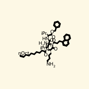 CCCCCCCC/C=C\CCCCCCCC(=O)N[C@@H](CCCCN)C(=O)N(C(=O)CCc1cccc2ccccc12)[C@@](N)(CC(C)C)C(=O)N[C@H](C(=O)OCc1ccccc1)C(C)C